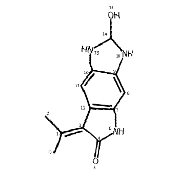 CC(C)=C1C(=O)Nc2cc3c(cc21)NC(O)N3